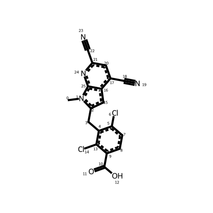 Cn1c(Cc2c(Cl)ccc(C(=O)O)c2Cl)cc2c(C#N)cc(C#N)nc21